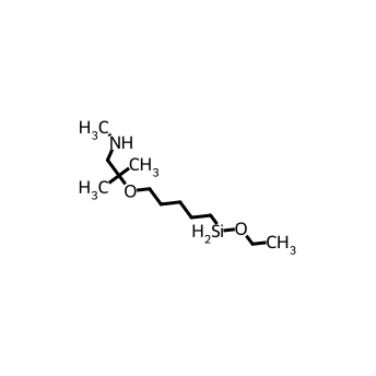 CCO[SiH2]CCCCCOC(C)(C)CNC